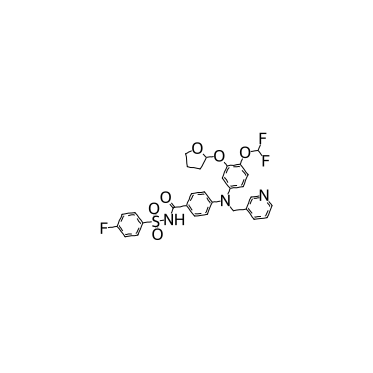 O=C(NS(=O)(=O)c1ccc(F)cc1)c1ccc(N(Cc2cccnc2)c2ccc(OC(F)F)c(OC3CCCO3)c2)cc1